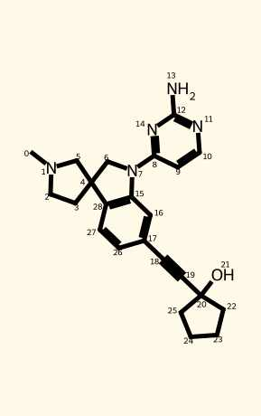 CN1CCC2(C1)CN(c1ccnc(N)n1)c1cc(C#CC3(O)CCCC3)ccc12